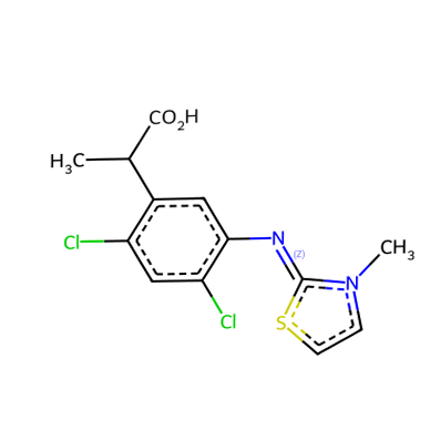 CC(C(=O)O)c1cc(/N=c2\sccn2C)c(Cl)cc1Cl